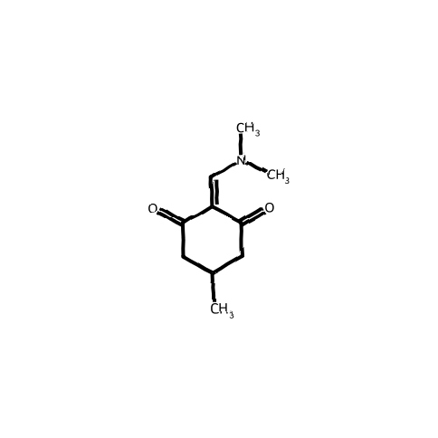 CC1CC(=O)C(=CN(C)C)C(=O)C1